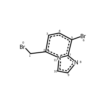 BrCc1ccc(Br)c2nccn12